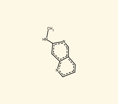 CNc1cc2ncccc2cn1